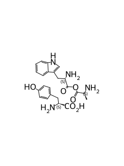 C[C@H](N)C(=O)OC(=O)[C@@H](N)Cc1c[nH]c2ccccc12.N[C@@H](Cc1ccc(O)cc1)C(=O)O